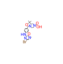 Cn1cc(Br)nc(Nc2ccc(C(=O)N3CCN(C(=O)O)CC3C(C)(C)C)cc2)c1=O